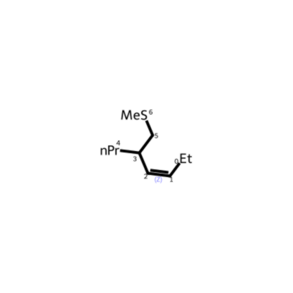 CC/C=C\C(CCC)CSC